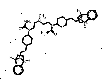 CN(CCN(C(N)=O)C1CCC(CCN2[C@@H]3CC[C@H]2c2ccccc23)CC1)CCN(C(N)=O)C1CCC(CCN2[C@@H]3CC[C@H]2c2ccccc23)CC1